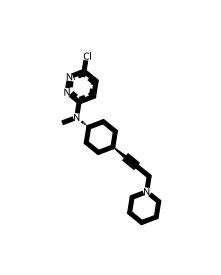 CN(c1ccc(Cl)nn1)[C@H]1CC[C@H](C#CCN2CCCCC2)CC1